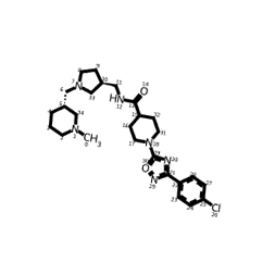 CN1CCC[C@H](CN2CC[C@@H](CNC(=O)C3CCN(c4nc(-c5ccc(Cl)cc5)no4)CC3)C2)C1